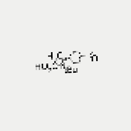 C[C@@H](c1ccc(C2CO2)cc1)N(C(=O)O)C(C)(C)C